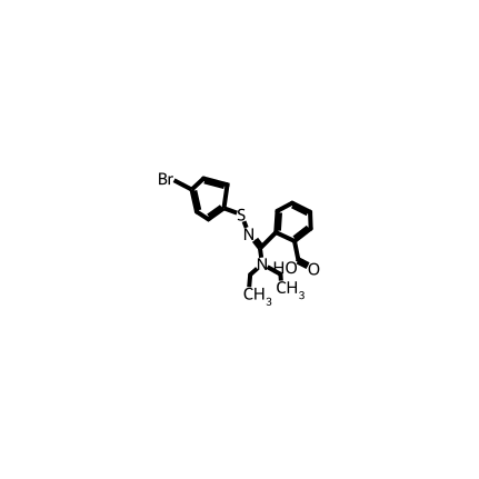 CCN(CC)/C(=N/Sc1ccc(Br)cc1)c1ccccc1C(=O)O